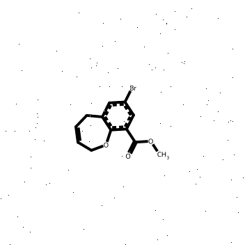 COC(=O)c1cc(Br)cc2c1OCC=CC2